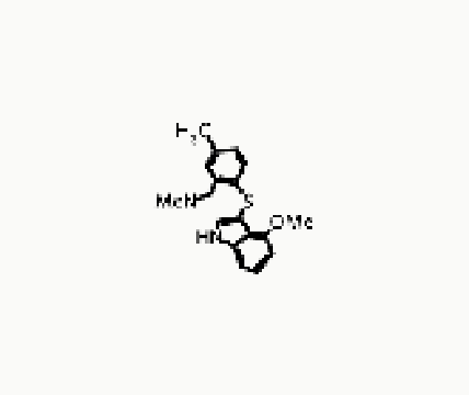 CNCc1cc(C)ccc1Sc1c[nH]c2cccc(OC)c12